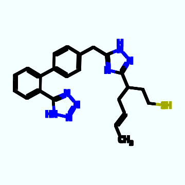 CC=CCC(CCS)c1n[nH]c(Cc2ccc(-c3ccccc3-c3nnn[nH]3)cc2)n1